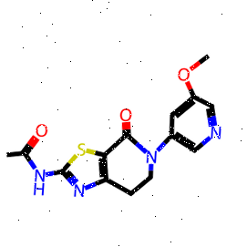 COc1cncc(N2CCc3nc(NC(C)=O)sc3C2=O)c1